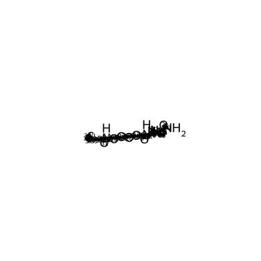 NC(=O)c1cccc(-n2cc(CNC(=O)CCOCCOCCOCCOCCNC(=O)CCCC[C@H]3CCCS3)nn2)c1